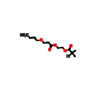 CCC(C)(C)C(=O)OCCOC(=O)CCOCCCC(=O)O